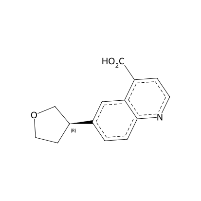 O=C(O)c1ccnc2ccc([C@H]3CCOC3)cc12